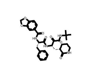 CC(C)(C)NC(=O)C(=O)[C@H](C[C@@H]1CCCNC1=O)NC(=O)[C@H](Cc1ccccc1)NC(=O)c1ccc2c(c1)OCO2